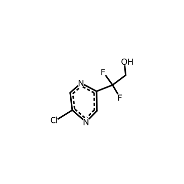 OCC(F)(F)c1cnc(Cl)cn1